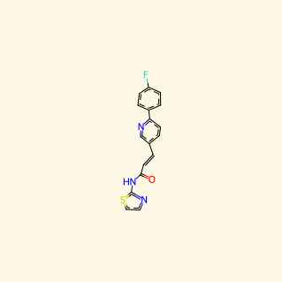 O=C(/C=C/c1ccc(-c2ccc(F)cc2)nc1)Nc1nccs1